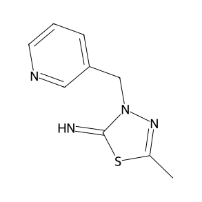 Cc1nn(Cc2cccnc2)c(=N)s1